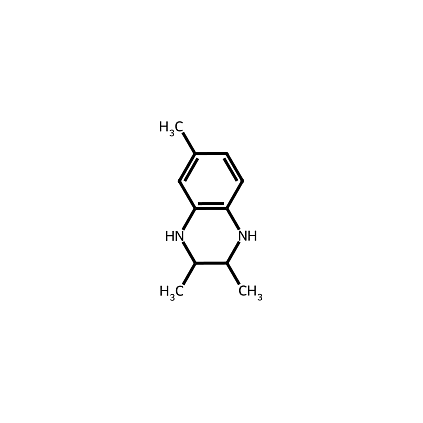 Cc1ccc2c(c1)NC(C)C(C)N2